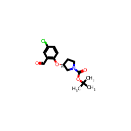 CC(C)(C)OC(=O)N1CC[C@@H](Oc2ccc(Cl)cc2C=O)C1